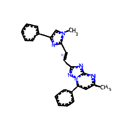 Cc1cc(-c2ccccc2)n2nc(/C=C/c3nc(-c4ccccc4)cn3C)nc2n1